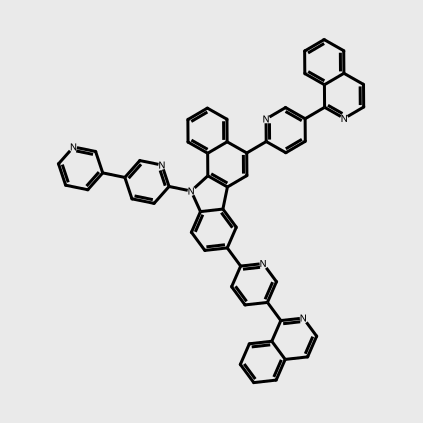 c1cncc(-c2ccc(-n3c4ccc(-c5ccc(-c6nccc7ccccc67)cn5)cc4c4cc(-c5ccc(-c6nccc7ccccc67)cn5)c5ccccc5c43)nc2)c1